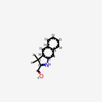 CC1(C)C(C=O)=Nc2cc3ccccc3cc21